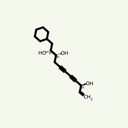 C=C[C@H](O)C#CC#CC[C@@H](O)[C@H](O)CC1CCCCC1